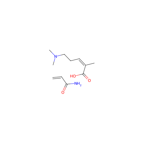 C=CC(N)=O.CC(=CCCN(C)C)C(=O)O